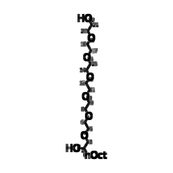 CCCCCCCCC(O)COCCOCCOCCOCCOCCOCCO